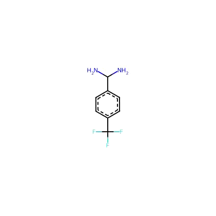 NC(N)c1ccc(C(F)(F)F)cc1